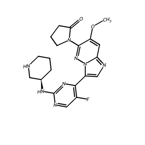 COc1cc2ncc(-c3nc(N[C@@H]4CCCNC4)ncc3F)n2nc1N1CCCC1=O